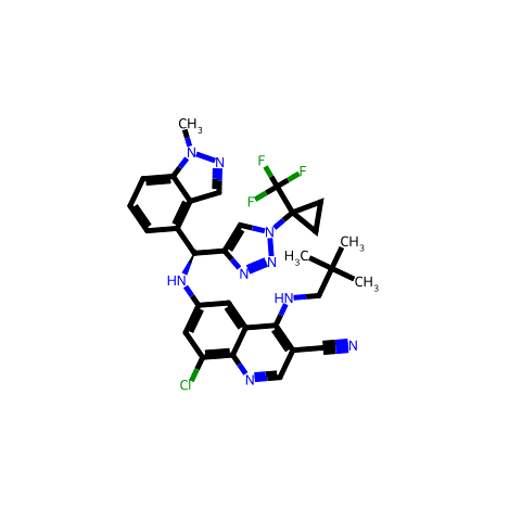 Cn1ncc2c([C@H](Nc3cc(Cl)c4ncc(C#N)c(NCC(C)(C)C)c4c3)c3cn(C4(C(F)(F)F)CC4)nn3)cccc21